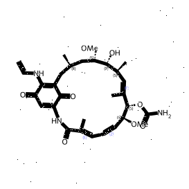 C=CNC1=C2C[C@@H](C)C[C@H](OC)[C@H](O)[C@@H](C)/C=C(\C)[C@H](OC(N)=O)[C@@H](OC)/C=C\C=C(/C)C(=O)NC(=CC1=O)C2=O